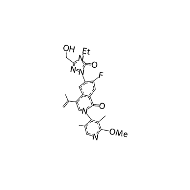 C=C(C)c1cn(-c2c(C)cnc(OC)c2C)c(=O)c2cc(F)c(-n3nc(CO)n(CC)c3=O)cc12